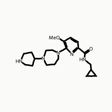 COc1ccc(C(=O)NCC2CC2)nc1N1CCCN(C2CCNCC2)CC1